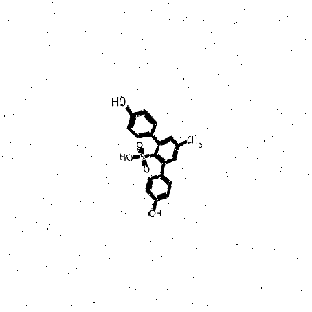 Cc1cc(-c2ccc(O)cc2)c(S(=O)(=O)O)c(-c2ccc(O)cc2)c1